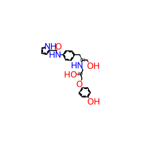 O=C(Nc1ccc(C[C@@H](CO)NC[C@H](O)COc2ccc(O)cc2)cc1)c1ccc[nH]1